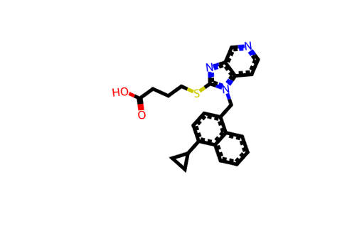 O=C(O)CCCSc1nc2cnccc2n1Cc1ccc(C2CC2)c2ccccc12